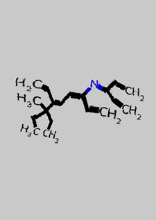 C=CC(C=C)=N/C(C=C)=C/C=C(\C=C)C(C)(CC)CC